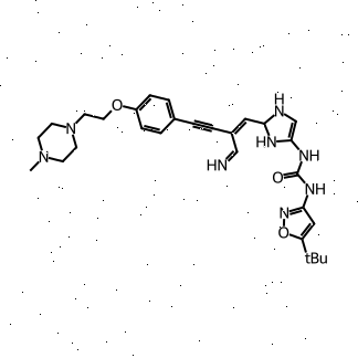 CN1CCN(CCOc2ccc(C#C/C(C=N)=C/C3NC=C(NC(=O)Nc4cc(C(C)(C)C)on4)N3)cc2)CC1